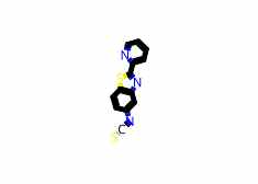 S=C=Nc1ccc2sc(-c3ccccn3)nc2c1